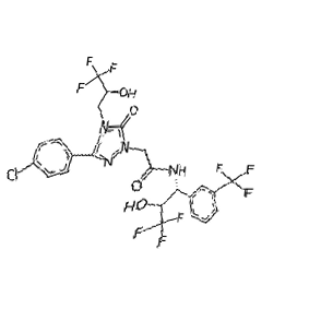 O=C(Cn1nc(-c2ccc(Cl)cc2)n(C[C@H](O)C(F)(F)F)c1=O)N[C@H](c1cccc(C(F)(F)F)c1)C(O)C(F)(F)F